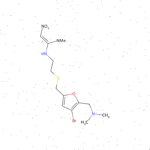 CN/C(=C\[N+](=O)[O-])NCCSCc1cc(Br)c(CN(C)C)o1